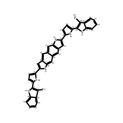 Fc1c(-c2ccc(-c3cc4cc5cc6sc(-c7ccc(-c8sc9ccccc9c8F)s7)cc6cc5cc4s3)s2)sc2ccccc12